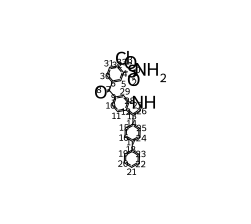 NS(=O)(=O)c1cc(C(=O)c2ccc3c(-c4ccc(-c5ccccc5)cc4)c[nH]c3c2)ccc1Cl